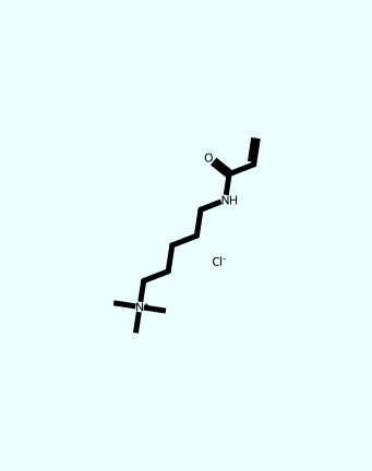 C=CC(=O)NCCCCC[N+](C)(C)C.[Cl-]